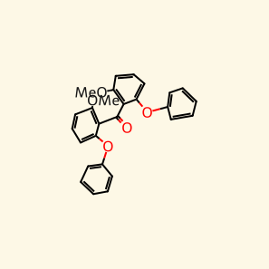 COc1cccc(Oc2ccccc2)c1C(=O)c1c(OC)cccc1Oc1ccccc1